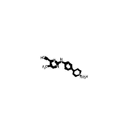 C#Cc1nc(Nc2ccc(C3CCN(C(=O)O)CC3)cc2)ncc1C(F)(F)F